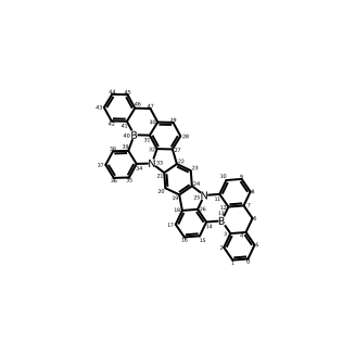 c1ccc2c(c1)Cc1cccc3c1B2c1cccc2c4cc5c(cc4n-3c12)c1ccc2c3c1n5-c1ccccc1B3c1ccccc1C2